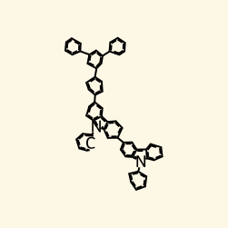 c1ccc(-c2cc(-c3ccccc3)cc(-c3ccc(-c4ccc5c(c4)c4ccc(-c6ccc7c(c6)c6ccccc6n7-c6ccccc6)cc4n5-c4ccccc4)cc3)c2)cc1